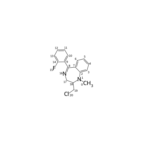 CN1c2ccccc2C(c2ccccc2F)=NCC1CCl